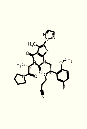 COc1ccc(F)cc1[C@H](Cn1c(=O)n([C@@H](C)C(=O)N2CCCC2)c(=O)c2c(C)c(-n3nccn3)sc21)OCCC#N